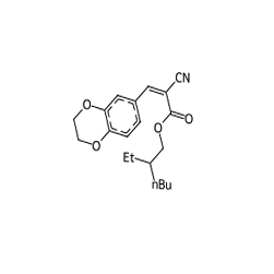 CCCCC(CC)COC(=O)C(C#N)=Cc1ccc2c(c1)OCCO2